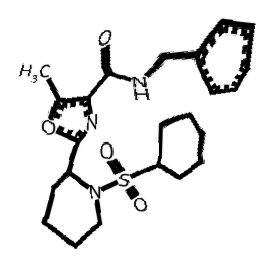 Cc1oc(C2CCCCN2S(=O)(=O)C2CCCCC2)nc1C(=O)NCc1ccccc1